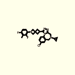 Cc1c(F)ccc(N2CC3(CC(c4nnc5n4-c4ccc(Cl)cc4CN(C4CC4)C5)C3)C2)c1F